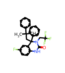 CC(C)(CC1(c2ccccc2)c2cc(F)ccc2NC(=O)N1CC(F)(F)F)c1ccccc1